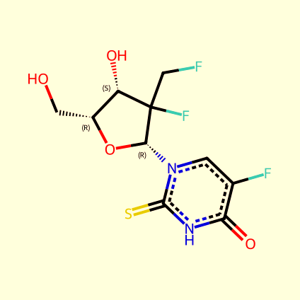 O=c1[nH]c(=S)n([C@@H]2O[C@H](CO)[C@H](O)C2(F)CF)cc1F